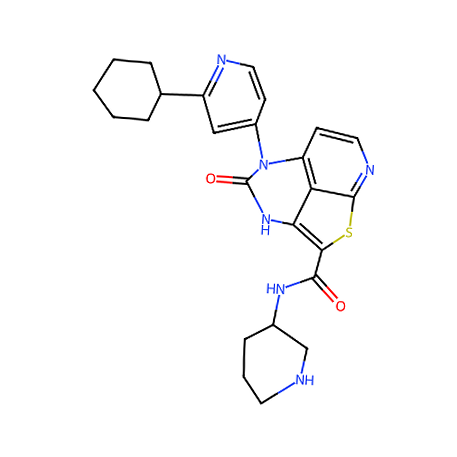 O=C(NC1CCCNC1)c1sc2nccc3c2c1NC(=O)N3c1ccnc(C2CCCCC2)c1